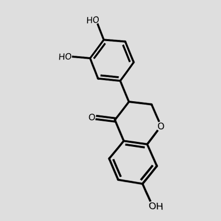 O=C1c2ccc(O)cc2OCC1c1ccc(O)c(O)c1